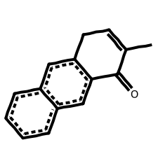 CC1=CCc2cc3ccccc3cc2C1=O